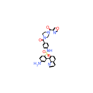 Nc1ccc(S(=O)(=O)Nc2ccc(C(=O)N3CCN(C(=O)c4cocn4)CC3)cc2)c(-c2cccc3cccnc23)c1